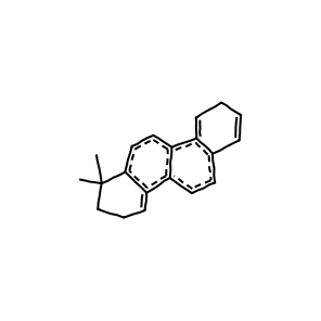 CC1(C)CCC=c2c1ccc1c3c(ccc21)C=CCC=3